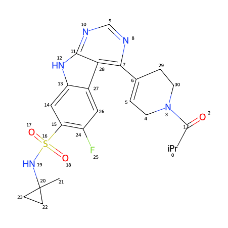 CC(C)C(=O)N1CC=C(c2ncnc3[nH]c4cc(S(=O)(=O)NC5(C)CC5)c(F)cc4c23)CC1